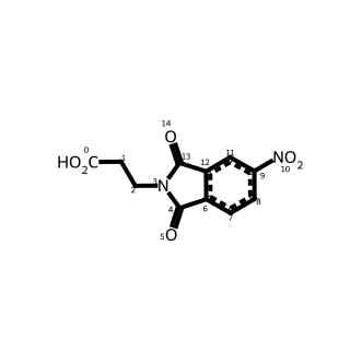 O=C(O)CCN1C(=O)c2ccc([N+](=O)[O-])cc2C1=O